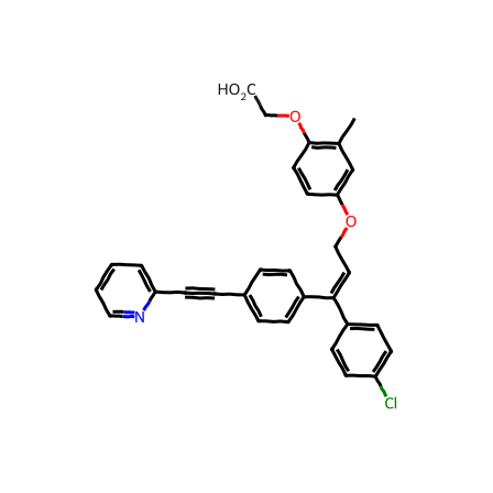 Cc1cc(OCC=C(c2ccc(Cl)cc2)c2ccc(C#Cc3ccccn3)cc2)ccc1OCC(=O)O